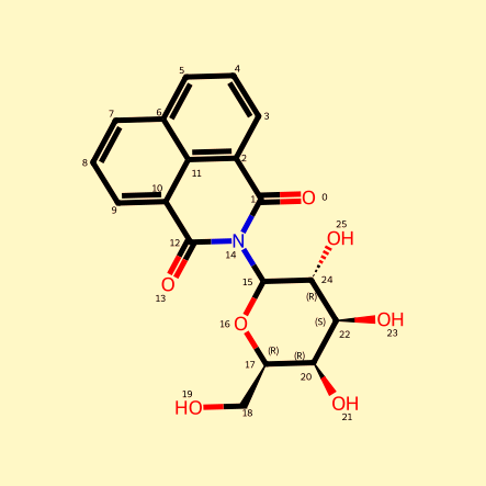 O=C1c2cccc3cccc(c23)C(=O)N1C1O[C@H](CO)[C@H](O)[C@H](O)[C@H]1O